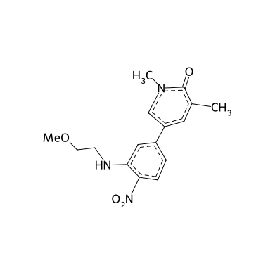 COCCNc1cc(-c2cc(C)c(=O)n(C)c2)ccc1[N+](=O)[O-]